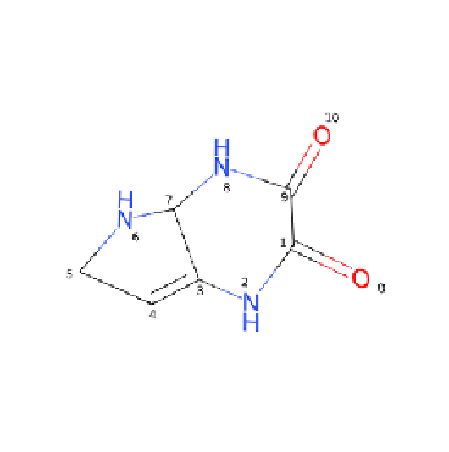 O=C1NC2=CCNC2NC1=O